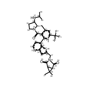 Cc1cc(C(F)(F)F)nc(-c2ccnc3cc(CN4C(=O)C5C(C4=O)C5(C)C)sc23)c1C(=O)N1CCC(NC(C)C)C1